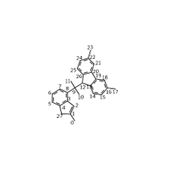 CC1=Cc2c(cccc2C(C)(C)C2c3ccc(C)cc3-c3cc(C)ccc32)C1